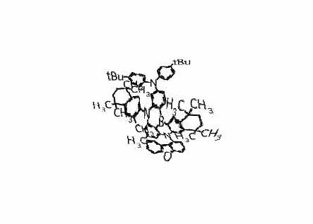 Cc1cc2c3c(c1)N(c1cccc4oc5ccccc5c14)c1cc4c(cc1B3c1ccc(N(c3ccc(C(C)(C)C)cc3)c3ccc(C(C)(C)C)cc3)cc1N2c1cc2c(cc1C)C(C)(C)CCC2(C)C)C(C)(C)CCC4(C)C